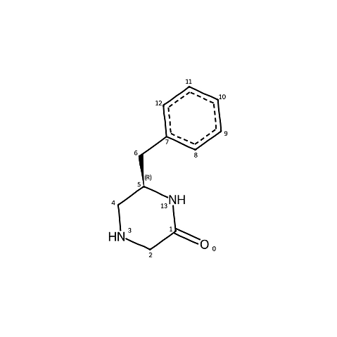 O=C1CNC[C@@H](Cc2ccccc2)N1